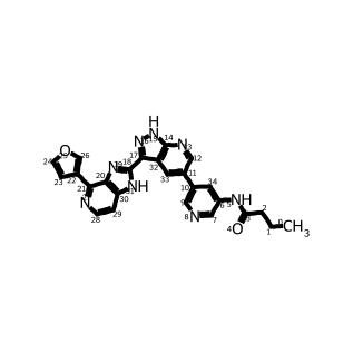 CCCC(=O)Nc1cncc(-c2cnc3[nH]nc(-c4nc5c(-c6ccoc6)nccc5[nH]4)c3c2)c1